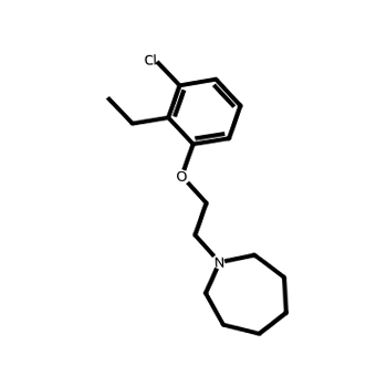 CCc1c(Cl)cccc1OCCN1CCCCCC1